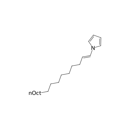 CCCCCCCCCCCCCCCC=Cn1cccc1